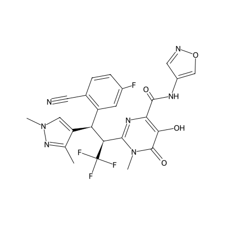 Cc1nn(C)cc1[C@@H](c1cc(F)ccc1C#N)[C@@H](c1nc(C(=O)Nc2cnoc2)c(O)c(=O)n1C)C(F)(F)F